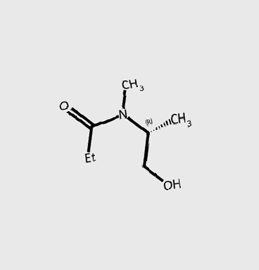 CCC(=O)N(C)[C@H](C)CO